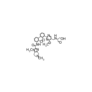 COc1nc(-c2cccc(-c3cccc(NC(=O)c4nc5c(n4C)CCN(C)C5)c3Cl)c2Cl)ncc1CNC(C=O)CO